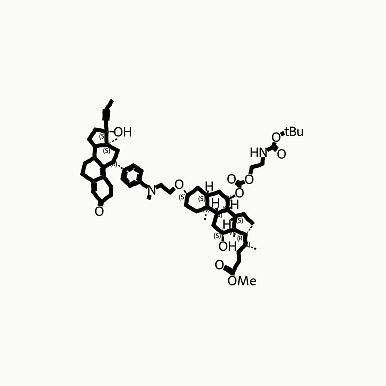 CC#C[C@]1(O)CCC2C3CCC4=CC(=O)CCC4=C3[C@@H](c3ccc(N(C)CCO[C@H]4CC[C@@]5(C)[C@@H](C4)C[C@@H](OC(=O)OCCNC(=O)OC(C)(C)C)[C@@H]4[C@@H]5C[C@H](O)[C@]5(C)[C@@H]([C@H](C)CCC(=O)OC)CC[C@@H]45)cc3)C[C@@]21C